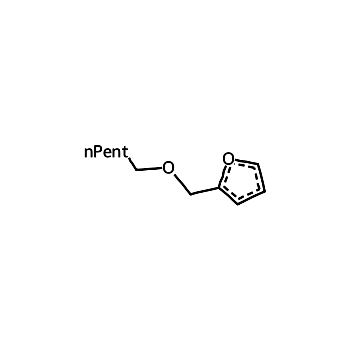 CCCCCCOCc1ccco1